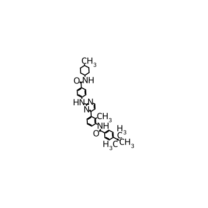 Cc1c(NC(=O)c2ccc(C(C)(C)C)cc2)cccc1-c1ccnc(Nc2ccc(C(=O)NC3CCC(C)CC3)cc2)n1